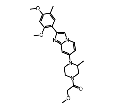 COCC(=O)N1CCN(c2ccn3cc(-c4cc(C)c(OC)cc4OC)nc3c2)C(C)C1